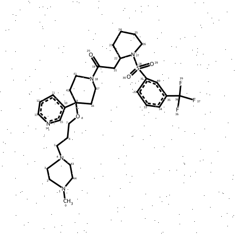 CN1CCN(CCCOC2(c3cccnc3)CCN(C(=O)CC3CCCCN3S(=O)(=O)c3cccc(C(F)(F)F)c3)CC2)CC1